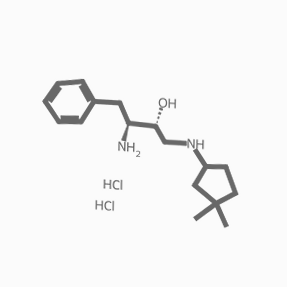 CC1(C)CCC(NC[C@@H](O)[C@@H](N)Cc2ccccc2)C1.Cl.Cl